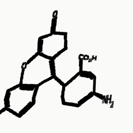 NC1=CCC(C2=C3CCC(=O)C=C3Oc3cc(O)ccc32)C(C(=O)O)=C1